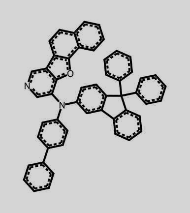 c1ccc(-c2ccc(N(c3ccc4c(c3)-c3ccccc3C4(c3ccccc3)c3ccccc3)c3cncc4c3oc3c5ccccc5ccc43)cc2)cc1